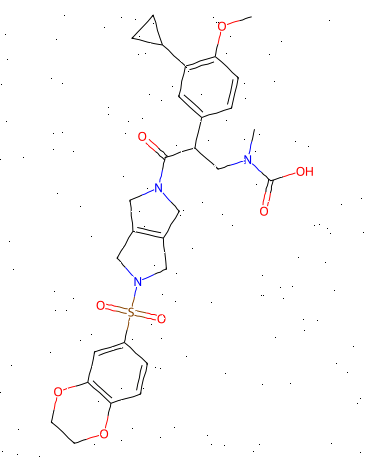 COc1ccc(C(CN(C)C(=O)O)C(=O)N2CC3=C(C2)CN(S(=O)(=O)c2ccc4c(c2)OCCO4)C3)cc1C1CC1